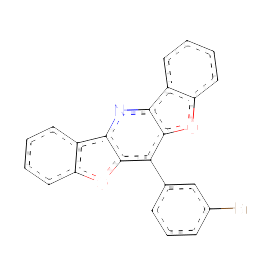 Brc1cccc(-c2c3oc4ccccc4c3nc3c2oc2ccccc23)c1